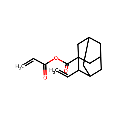 C=CC(=O)OC(=O)C12CC3CC(CC(C3)C1C=C)C2